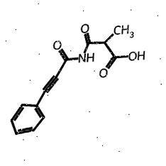 CC(C(=O)O)C(=O)NC(=O)C#Cc1ccccc1